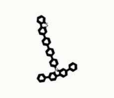 c1ccc(-c2ccc3c4ccc(-c5ccccc5)cc4n(-c4ccc(-c5ccc(-c6ccc(-c7ccc8c(c7)sc7ccccc78)cc6)cc5)cc4)c3c2)cc1